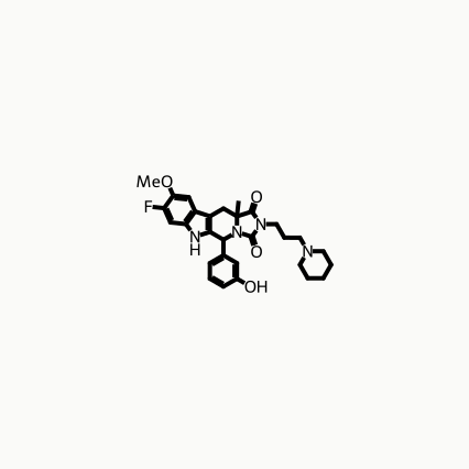 COc1cc2c3c([nH]c2cc1F)C(c1cccc(O)c1)N1C(=O)N(CCCN2CCCCC2)C(=O)C1(C)C3